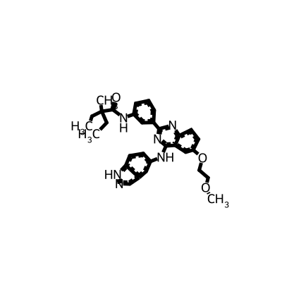 CCC(C)(CC)C(=O)Nc1cccc(-c2nc(Nc3ccc4[nH]ncc4c3)c3cc(OCCOC)ccc3n2)c1